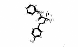 C[C@](O)(CCc1ccc([123I])cc1)C(=O)Nc1ccccc1